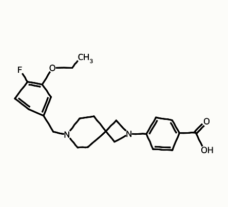 CCOc1cc(CN2CCC3(CC2)CN(c2ccc(C(=O)O)cc2)C3)ccc1F